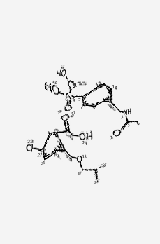 CC(=O)Nc1ccc([As](=O)(O)OO)cc1.CCCOc1ccc(Cl)cc1C(=O)O